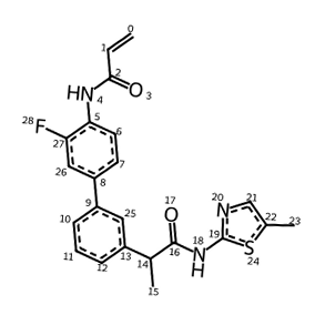 C=CC(=O)Nc1ccc(-c2cccc(C(C)C(=O)Nc3ncc(C)s3)c2)cc1F